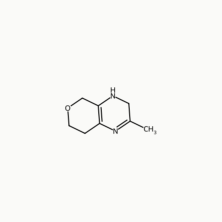 CC1=NC2=C(COCC2)NC1